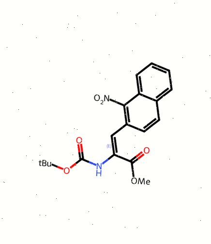 COC(=O)/C(=C\c1ccc2ccccc2c1[N+](=O)[O-])NC(=O)OC(C)(C)C